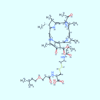 CC[C@H]1c2cc3[nH]c4c(c3C)C(=O)C(C(=O)OC)c4c3nc(cc4[nH]c(cc(n2)[C@@H]1C)c(C(C)=O)c4C)[C@@H](C)[C@@H]3CCC(=O)NCCSSC[C@H](NC(=O)CCOCCC(C)C)C(=O)O